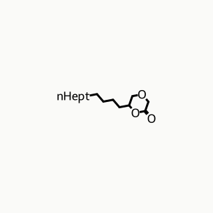 CCCCCCCCCCCC1COCC(=O)O1